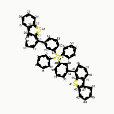 c1ccc(S(c2ccccc2)(c2cccc(-c3cccc4c3sc3ccccc34)c2)c2cccc(-c3cccc4c3sc3ccccc34)c2)cc1